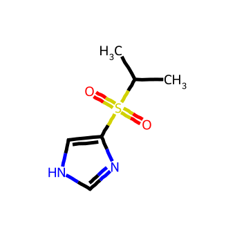 CC(C)S(=O)(=O)c1c[nH]cn1